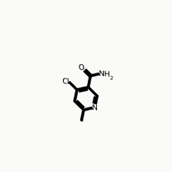 Cc1cc(Cl)c(C(N)=O)cn1